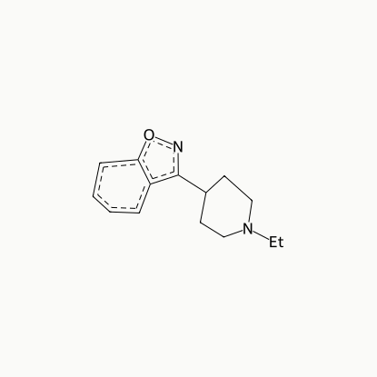 [CH2]CN1CCC(c2noc3ccccc23)CC1